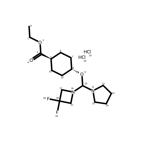 CCOC(=O)[C@H]1CC[C@H](OC(N2CCCC2)N2CC(F)(F)C2)CC1.Cl.Cl